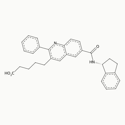 O=C(O)CCCCc1cc2cc(C(=O)N[C@@H]3CCc4ccccc43)ccc2nc1-c1ccccc1